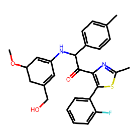 COC1C=C(NC(C(=O)c2nc(C)sc2-c2ccccc2F)c2ccc(C)cc2)C=C(CO)C1